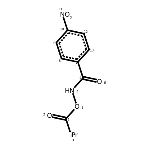 CC(C)C(=O)ONC(=O)c1ccc([N+](=O)[O-])cc1